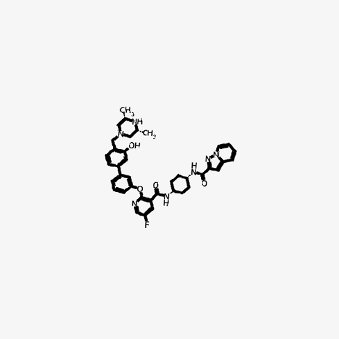 C[C@@H]1CN(Cc2ccc(-c3cccc(Oc4ncc(F)cc4C(=O)N[C@H]4CC[C@@H](NC(=O)c5cc6ccccn6n5)CC4)c3)cc2O)C[C@H](C)N1